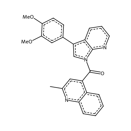 COc1ccc(-c2cn(C(=O)c3cc(C)nc4ccccc34)c3ncccc23)cc1OC